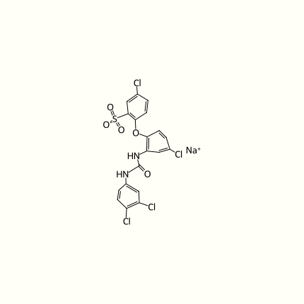 O=C(Nc1ccc(Cl)c(Cl)c1)Nc1cc(Cl)ccc1Oc1ccc(Cl)cc1S(=O)(=O)[O-].[Na+]